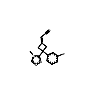 Cn1cnnc1C1(c2cccc(Br)c2)CC(=CC#N)C1